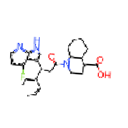 C/C=C\C(=C/C)C(CC(=O)N1CCC(C(=O)O)C2CCCCC21)c1c[nH]c2nccc(F)c12